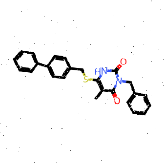 Cc1c(SCc2ccc(-c3ccccc3)cc2)[nH]c(=O)n(Cc2ccccc2)c1=O